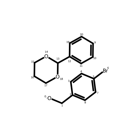 [O]Cc1ccc(Br)cc1.c1ccc(C2OCCCO2)cc1